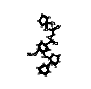 CCC1(OC(=O)COC(=O)c2ccc(OC)c(SC3CC=CC=C3c3ccccc3)c2)CCCC1